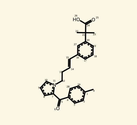 Cc1ccc(C(=O)c2cccn2CC/C=C/c2cccc(C(C)(C)C(=O)O)c2)cc1